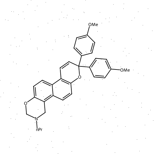 CCCN1COc2ccc3c4c(ccc3c2C1)OC(c1ccc(OC)cc1)(c1ccc(OC)cc1)C=C4